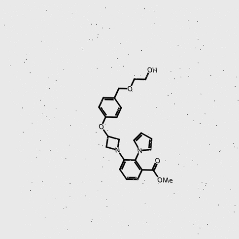 COC(=O)c1cccc(N2CC(Oc3ccc(COCCO)cc3)C2)c1-n1cccc1